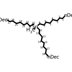 CCCCCCCCCCCCCCCCC[CH2][Sn]([CH3])([CH2]CCCCCCCCCCCCCCCCC)[CH2]CCCCCCCCCCCCCCCCC